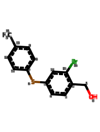 OCc1ccc(Sc2ccc(C(F)(F)F)cc2)cc1Br